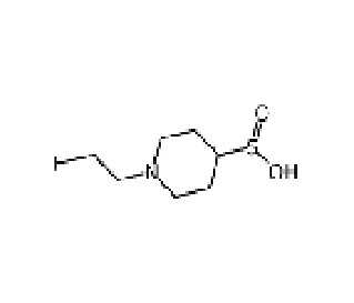 O=S(O)C1CCN(CCF)CC1